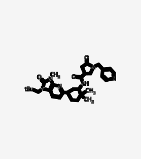 Cn1c(=O)n(CC(C)(C)C)c2ccc(C3CCC(C)(C)C(NC(=O)C4CC(=O)N(Cc5ccncc5)C4)C3)nc21